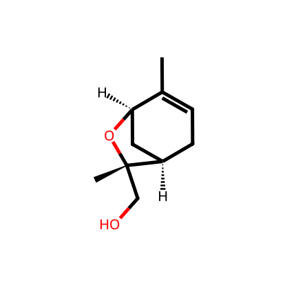 CC1=CC[C@@H]2C[C@H]1O[C@@]2(C)CO